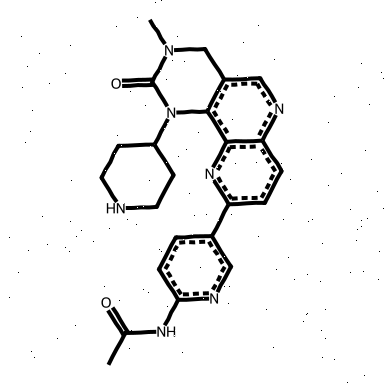 CC(=O)Nc1ccc(-c2ccc3ncc4c(c3n2)N(C2CCNCC2)C(=O)N(C)C4)cn1